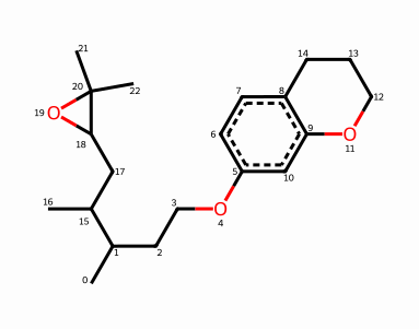 CC(CCOc1ccc2c(c1)OCCC2)C(C)CC1OC1(C)C